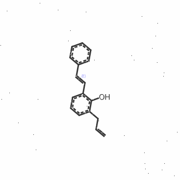 C=CCc1cccc(/C=C/c2ccccc2)c1O